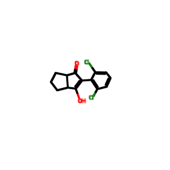 O=C1C(c2c(Cl)cccc2Cl)=C(O)C2CCCC12